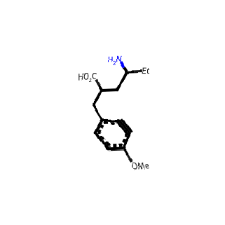 CCC(N)CC(Cc1c#cc(OC)cc1)C(=O)O